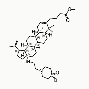 C=C(C)[C@@H]1CC[C@]2(NCCN3CCS(=O)(=O)CC3)CC[C@]3(C)[C@H](CC[C@@H]4[C@@]5(C)CC=C(CCCC(=O)OC)C(C)(C)[C@@H]5CC[C@]43C)[C@@H]12